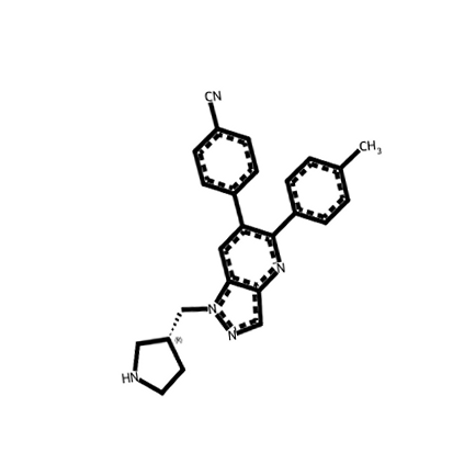 Cc1ccc(-c2nc3cnn(C[C@@H]4CCNC4)c3cc2-c2ccc(C#N)cc2)cc1